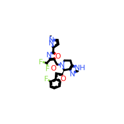 Cn1ccc(-c2nc(C(F)F)c(C(=O)N3CCc4[nH]cnc4[C@H]3c3cc4c(F)cccc4o3)o2)n1